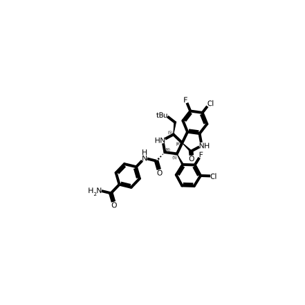 CC(C)(C)C[C@@H]1N[C@@H](C(=O)Nc2ccc(C(N)=O)cc2)[C@H](c2cccc(Cl)c2F)[C@]12C(=O)Nc1cc(Cl)c(F)cc12